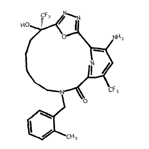 Cc1ccccc1CN1CCCCC[C@](O)(C(F)(F)F)c2nnc(o2)-c2nc(c(C(F)(F)F)cc2N)C1=O